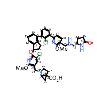 COc1nc(-c2cccc(-c3cccc4c3CC[C@@H]4Oc3nc(OC)c(CN4CCC5(C(=O)O)CC45)cc3Cl)c2Cl)ccc1CNC[C@@H]1CCC(=O)N1